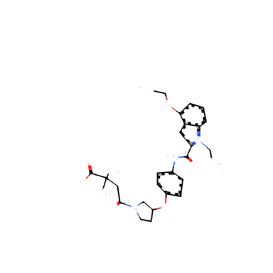 CCOc1cccc2c1cc(C(=O)Nc1ccc(OC3CCN(C(=O)CC(C)(C)C(=O)O)C3)cc1)n2CC